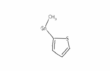 [CH3][Sn][c]1cccs1